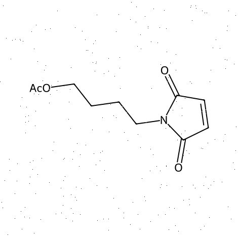 CC(=O)OCCCCN1C(=O)C=CC1=O